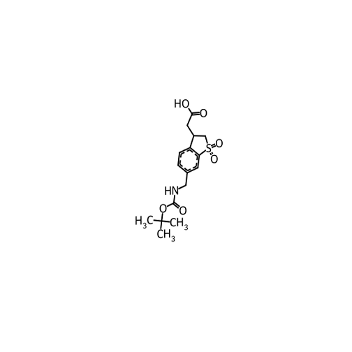 CC(C)(C)OC(=O)NCc1ccc2c(c1)S(=O)(=O)CC2CC(=O)O